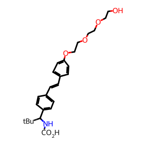 CC(C)(C)C(NC(=O)O)c1ccc(/C=C/c2ccc(OCCOCCOCCO)cc2)cc1